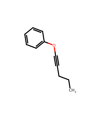 CCCC#COc1ccccc1